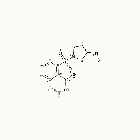 CNC1CCN(S(=O)(=O)c2cccc3cncc(Br)c23)C1